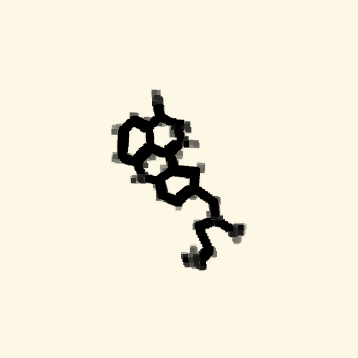 CCN(CCO)Cc1ccc2c(c1)-c1n[nH]c(=O)c3cccc(c13)O2